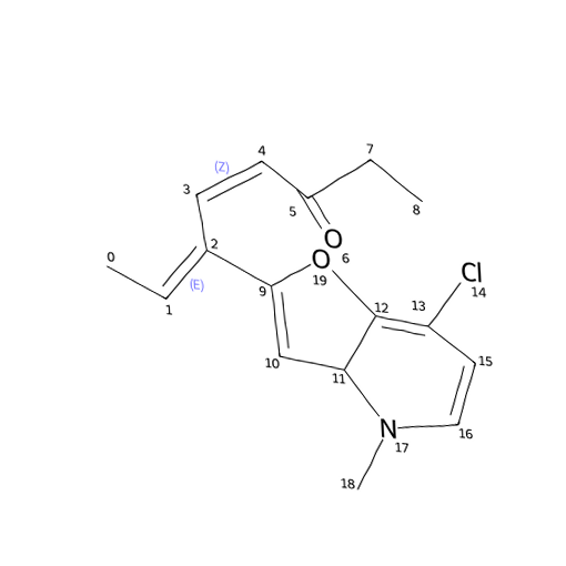 C/C=C(\C=C/C(=O)CC)C1=CC2C(=C(Cl)C=CN2C)O1